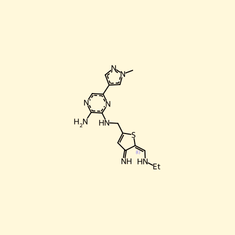 CCN/C=C1/SC(CNc2nc(-c3cnn(C)c3)cnc2N)=CC1=N